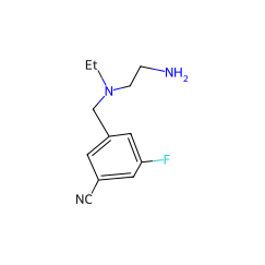 CCN(CCN)Cc1cc(F)cc(C#N)c1